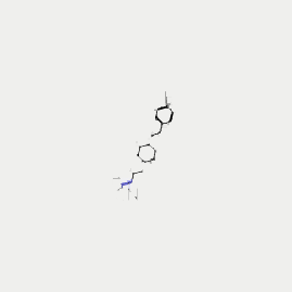 N#C/C(F)=C/CC[C@H]1CC[C@H](CCc2ccc(F)cc2)CC1